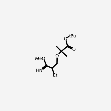 CCC(COC(C)(C)C(=O)OC(C)(C)C)C(=N)OC